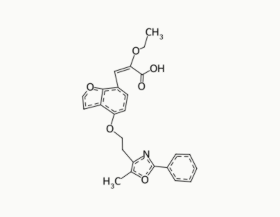 CCO/C(=C/c1ccc(OCCc2nc(-c3ccccc3)oc2C)c2ccoc12)C(=O)O